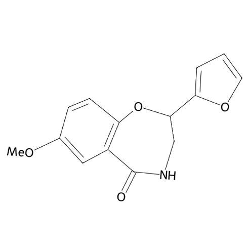 COc1ccc2c(c1)C(=O)NCC(c1ccco1)O2